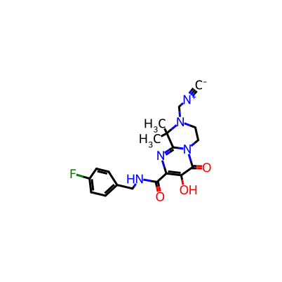 [C-]#[N+]CN1CCn2c(nc(C(=O)NCc3ccc(F)cc3)c(O)c2=O)C1(C)C